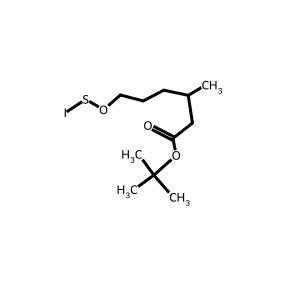 CC(CCCOSI)CC(=O)OC(C)(C)C